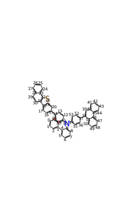 c1ccc(-c2ccccc2N(c2ccc(-c3ccc4c(c3)sc3c5ccccc5ccc43)cc2)c2ccc(-c3cc4ccccc4c4ccccc34)cc2)cc1